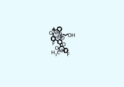 CNC(=O)c1c(-c2ccc(F)cc2)oc2cc(NS(=O)(=O)CCCO)c(-c3cc(C(=O)NC4(c5ccccc5)CC4)ccc3F)cc12